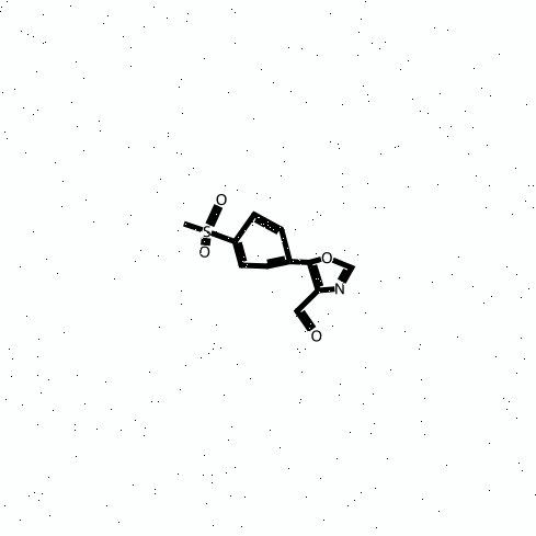 CS(=O)(=O)c1ccc(-c2ocnc2C=O)cc1